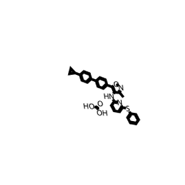 Cc1noc(-c2ccc(-c3ccc(C4CC4)cc3)cc2)c1Nc1cccc(Sc2ccccc2)n1.O=C(O)O